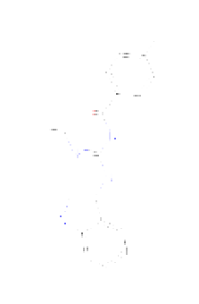 CCN=C(NC(=O)c1ccc(C)cc1)Nc1c[nH]c2ccccc12